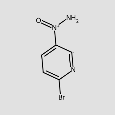 N[N+](=O)c1[c]nc(Br)cc1